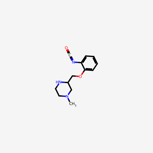 CN1CCNC(COc2ccccc2N=C=O)C1